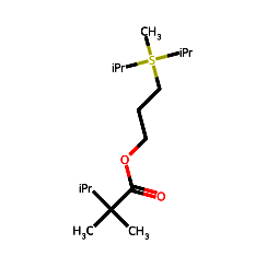 CC(C)C(C)(C)C(=O)OCCCS(C)(C(C)C)C(C)C